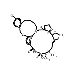 COC1/C(F)=C/C[C@H](C)[C@@H](C)S(=O)(=O)NC(=O)c2cnc3c(n2)N(CCCCc2cc(Cl)ccc2CO3)C[C@@H]2CCO[C@@H]12